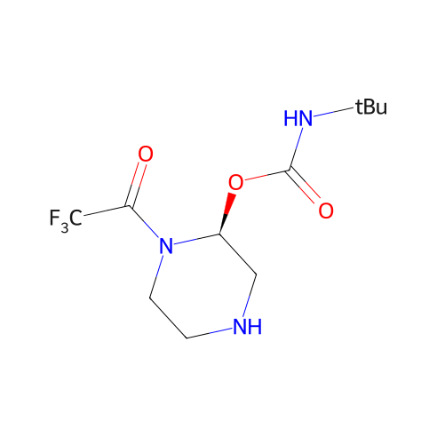 CC(C)(C)NC(=O)O[C@H]1CNCCN1C(=O)C(F)(F)F